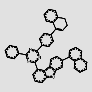 C1=C(c2ccc(-c3nc(-c4ccccc4)nc(-c4cccc5oc6cc(-c7cccc8ccccc78)ccc6c45)n3)cc2)c2ccccc2CC1